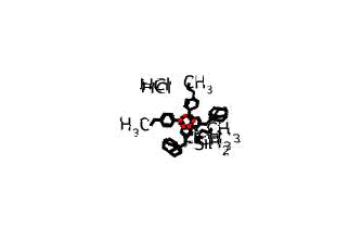 CCCc1ccc(-c2cccc3c2C=C(CC2C4CC5CC(C4)CC2C5)[CH]3[Zr]([CH3])(=[SiH2])([CH2]CC)[CH]2C(CC3C4CC5CC(C4)CC3C5)=Cc3c(-c4ccc(CCC)cc4)cccc32)cc1.Cl.Cl